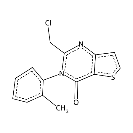 Cc1ccccc1-n1c(CCl)nc2ccsc2c1=O